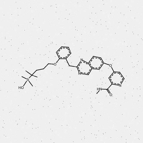 CNC(=O)c1cc(Oc2ccc3nc(Cc4ccccc4OCCCC(C)(C)[Si](C)(C)O)ncc3c2)ccn1